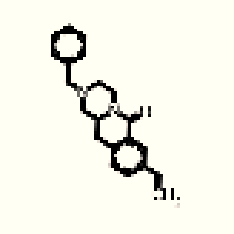 C=Cc1ccc2c(c1)C(=O)N1CCN(Cc3ccccc3)CC1C2